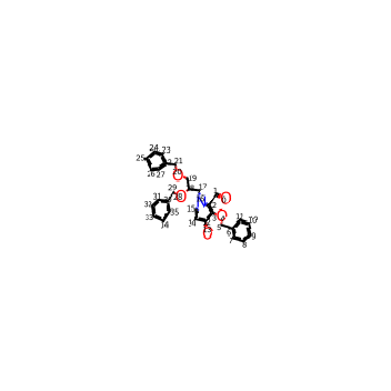 O=Cc1c(OCc2ccccc2)c(=O)ccn1CC(COCc1ccccc1)OCc1ccccc1